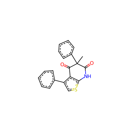 CC1(c2ccccc2)C(=O)Nc2scc(-c3ccccc3)c2C1=O